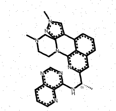 C[C@H](Nc1ncnc2cccnc12)c1cc2cccc(-c3cnn(C)c3)c2c(N2CCN(C)CC2)n1